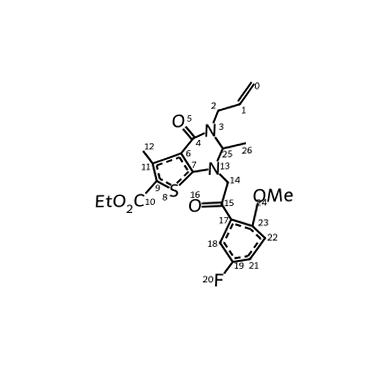 C=CCN1C(=O)c2c(sc(C(=O)OCC)c2C)N(CC(=O)c2cc(F)ccc2OC)C1C